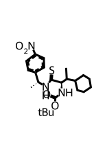 CC(C1CCCCC1)[C@@H](NC(=O)OC(C)(C)C)C(=S)N[C@H](C)c1ccc([N+](=O)[O-])cc1